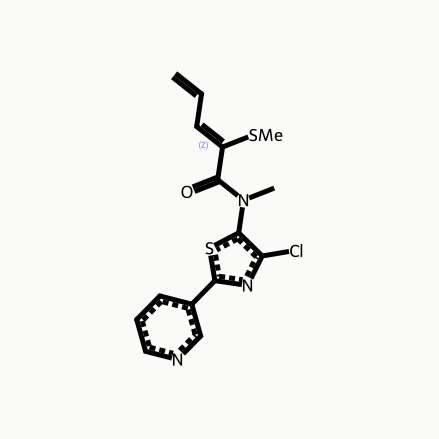 C=C/C=C(\SC)C(=O)N(C)c1sc(-c2cccnc2)nc1Cl